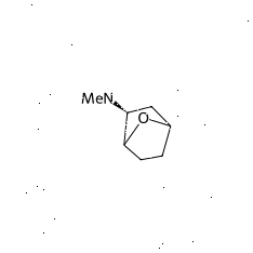 CN[C@H]1CC2CCC1O2